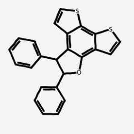 c1ccc(C2Oc3c(c4ccsc4c4sccc34)C2c2ccccc2)cc1